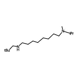 CC(C)N(C)CCCCCCCCNCC(C)(C)C